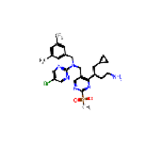 CS(=O)(=O)c1ncc(CN(Cc2cc(C(F)(F)F)cc(C(F)(F)F)c2)c2ncc(Br)cn2)c(C(CCN)CC2CC2)n1